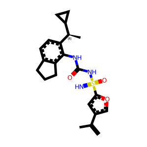 C=C(C)c1coc(S(=N)(=O)NC(=O)Nc2c([C@H](C)C3CC3)ccc3c2CCC3)c1